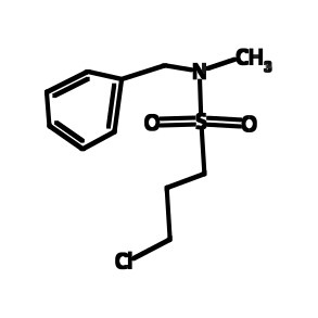 CN(Cc1ccccc1)S(=O)(=O)CCCCl